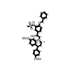 COc1ccc(C(C[C@@H](C)NC[C@H](O)c2ccc(OCc3ccccc3)c(NS(C)(=O)=O)c2)c2ccc(OC)cc2)cc1